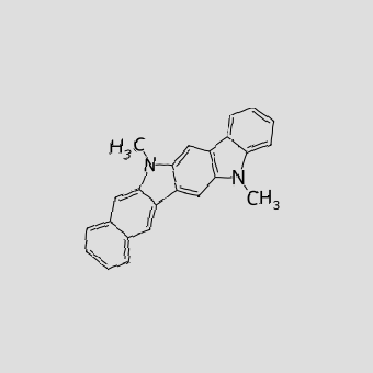 Cn1c2ccccc2c2cc3c(cc21)c1cc2ccccc2cc1n3C